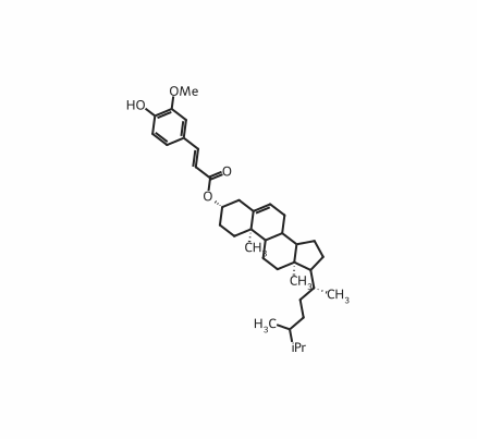 COc1cc(/C=C/C(=O)O[C@H]2CC[C@@]3(C)C(=CCC4C5CCC([C@H](C)CCC(C)C(C)C)[C@@]5(C)CCC43)C2)ccc1O